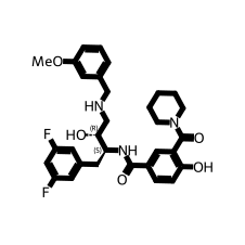 COc1cccc(CNC[C@@H](O)[C@H](Cc2cc(F)cc(F)c2)NC(=O)c2ccc(O)c(C(=O)N3CCCCC3)c2)c1